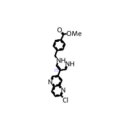 COC(=O)c1ccc(CN/C=C(\C=N)c2cnc3ccc(Cl)nc3c2)cc1